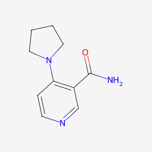 NC(=O)c1cnccc1N1CCCC1